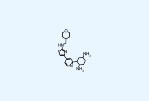 NC1CCC(N)C(c2cc(-c3csc(NCC4CCOCC4)n3)ccn2)C1